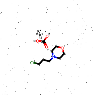 ClCCCN1CCOCC1.O=C([O-])[O-].[K+].[K+]